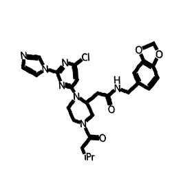 CC(C)CC(=O)N1CCN(c2cc(Cl)nc(-n3ccnc3)n2)C(CC(=O)NCc2ccc3c(c2)OCO3)C1